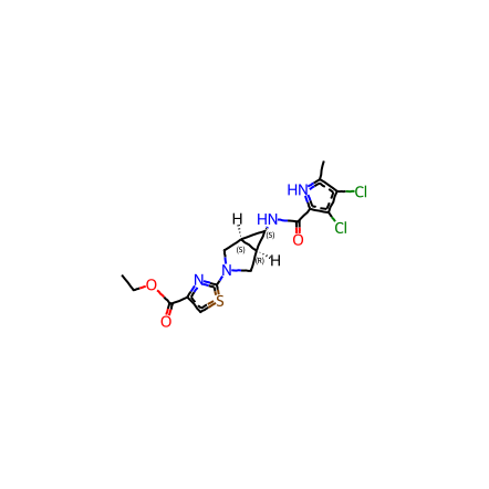 CCOC(=O)c1csc(N2C[C@@H]3[C@H](C2)[C@H]3NC(=O)c2[nH]c(C)c(Cl)c2Cl)n1